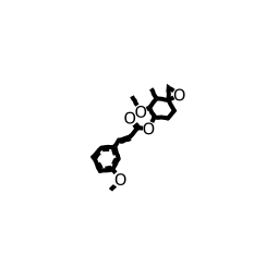 COc1cccc(C=CC(=O)OC2CCC3(CO3)C(C)C2OC)c1